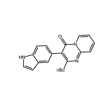 CCCCc1nc2ccccn2c(=O)c1-c1ccc2[nH]ccc2c1